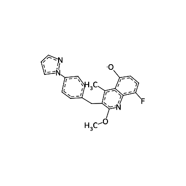 COc1nc2c(F)ccc([O])c2c(C)c1Cc1ccc(-n2cccn2)cc1